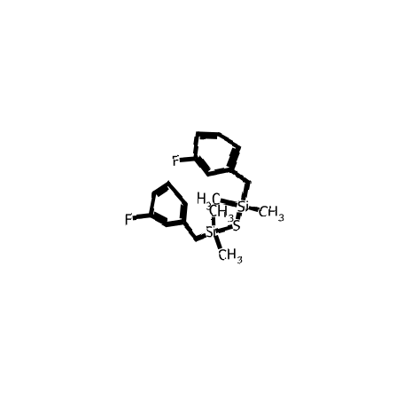 C[Si](C)(Cc1cccc(F)c1)S[Si](C)(C)Cc1cccc(F)c1